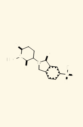 CN1C(=O)CCC(N2Cc3ccc(S(=O)(=O)F)cc3C2=O)C1=O